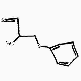 OC(C=S)CSc1ccccc1